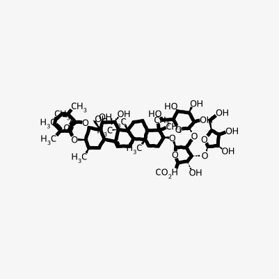 C/C=C(/C)C(=O)O[C@@H]1[C@H](C)CC2C3=CCC4[C@@]5(C)CC[C@H](O[C@@H]6OC(C(=O)O)[C@@H](O)[C@@H](O[C@@H]7O[C@@H](CO)C(O)[C@@H]7O)C6O[C@@H]6OC(CO)[C@H](O)[C@@H](O)C6O)C(C)(C)C5CC[C@@]4(C)[C@]3(C)[C@@H](O)[C@@H](O)[C@@]2(CO)[C@H]1OC(=O)/C(C)=C\C